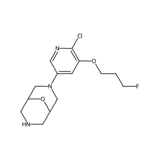 FCCCOc1cc(N2CC3CNCC(C2)O3)cnc1Cl